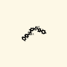 c1cc(-c2c[nH]c(-c3ccc(C4CCCCC4)cc3)n2)cc(-c2c[nH]c(-c3ccc(C4CCCCC4)cc3)n2)c1